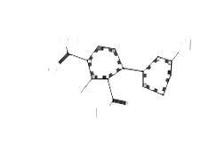 Cc1c(C(=O)O)ccc(-c2cccc(Cl)c2)c1C(=O)O